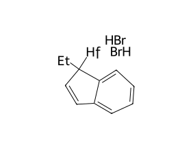 Br.Br.CC[C]1([Hf])C=Cc2ccccc21